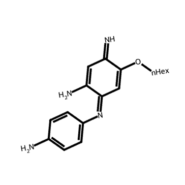 CCCCCCOC1=C/C(=N/c2ccc(N)cc2)C(N)=CC1=N